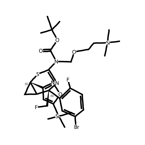 CC(C)(C)OC(=O)N(COCC[Si](C)(C)C)C1=N[C@](CF)(c2cc(Br)ccc2F)C2C[C@]2(c2cc([Si](C)(C)C)on2)S1